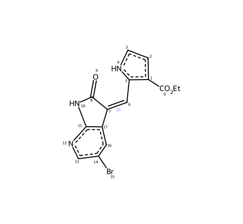 CCOC(=O)c1cc[nH]c1/C=C1\C(=O)Nc2ncc(Br)cc21